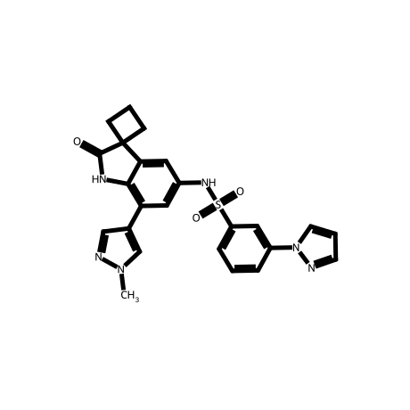 Cn1cc(-c2cc(NS(=O)(=O)c3cccc(-n4cccn4)c3)cc3c2NC(=O)C32CCC2)cn1